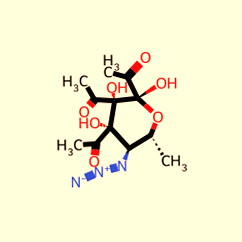 CC(=O)[C@@]1(O)[C@](O)(C(C)=O)O[C@H](C)[C@@H](N=[N+]=[N-])[C@@]1(O)C(C)=O